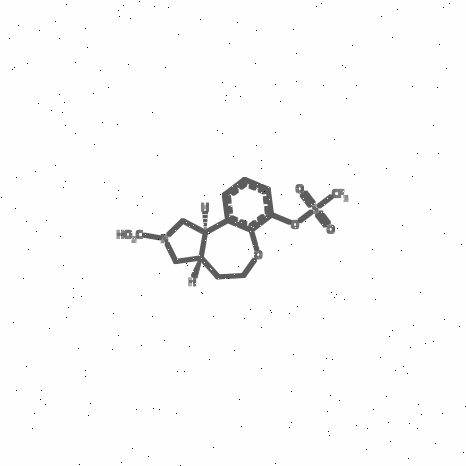 O=C(O)N1C[C@H]2CCOc3c(OS(=O)(=O)C(F)(F)F)cccc3[C@@H]2C1